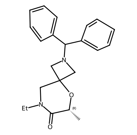 CCN1CC2(CN(C(c3ccccc3)c3ccccc3)C2)O[C@H](C)C1=O